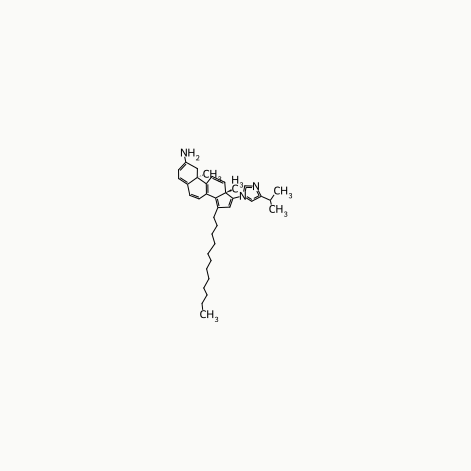 CCCCCCCCCCCCC1=C2C3=C(C=C[C@]2(C)C(n2cnc(C(C)C)c2)=C1)[C@]1(C)CC(N)=CC=C1C=C3